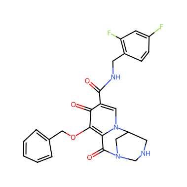 O=C(NCc1ccc(F)cc1F)c1cn2c(c(OCc3ccccc3)c1=O)C(=O)N1CNCC2C1